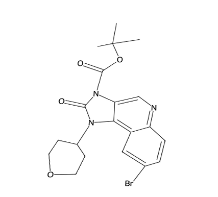 CC(C)(C)OC(=O)n1c(=O)n(C2CCOCC2)c2c3cc(Br)ccc3ncc21